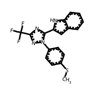 CSc1ccc(-n2nc(C(F)(F)F)nc2-c2cc3ccccc3[nH]2)cc1